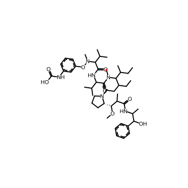 CCC(C)C(C(CC)CC(=O)N1CCC[C@H]1C(OC)C(C)C(=O)NC(C)C(O)c1ccccc1)N(C)C(=O)C(NC(=O)C(C(C)C)N(C)Oc1cccc(NC(=O)O)c1)C(C)C